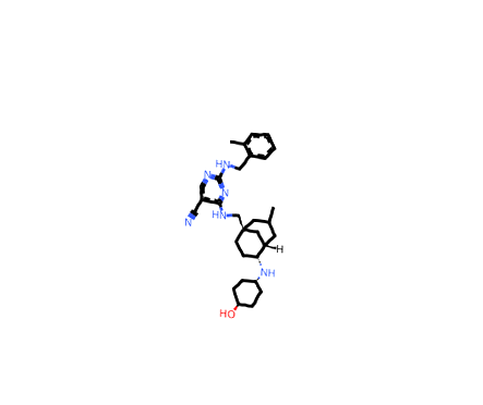 Cc1ccccc1CNc1ncc(C#N)c(NC[C@@]23CC[C@@H](N[C@H]4CC[C@H](O)CC4)[C@@H](CC(C)C2)C3)n1